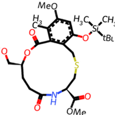 COC(=O)[C@@H]1CSCc2c(O[Si](C)(C)C(C)(C)C)cc(OC)c(C)c2C(=O)O[C@H](CO)CCC(=O)N1